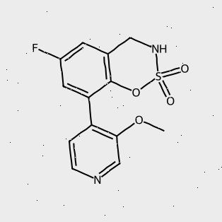 COc1cnccc1-c1cc(F)cc2c1OS(=O)(=O)NC2